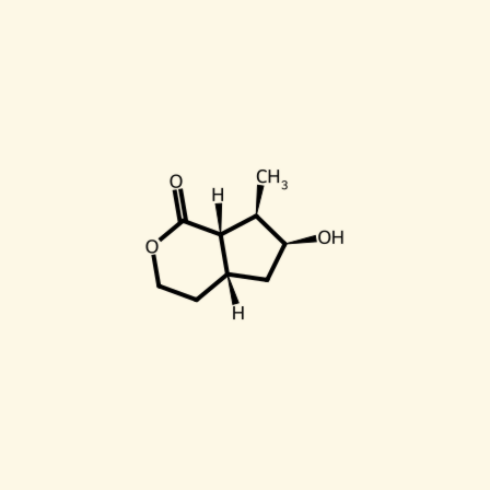 C[C@@H]1[C@H]2C(=O)OCC[C@H]2C[C@@H]1O